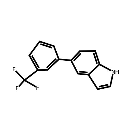 FC(F)(F)c1cccc(-c2ccc3[nH]ccc3c2)c1